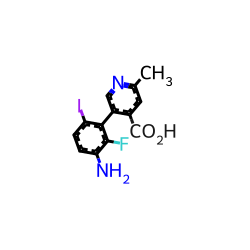 Cc1cc(C(=O)O)c(-c2c(I)ccc(N)c2F)cn1